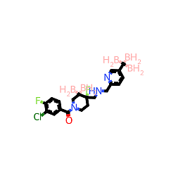 BC(B)(B)c1ccc(CNCC2(F)CCN(C(=O)c3ccc(F)c(Cl)c3)CC2(B)B)nc1